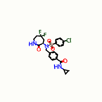 O=C(NC1CC1)c1ccc(CN([C@@H]2CC(F)(F)CCNC2=O)S(=O)(=O)c2ccc(Cl)cc2)cc1